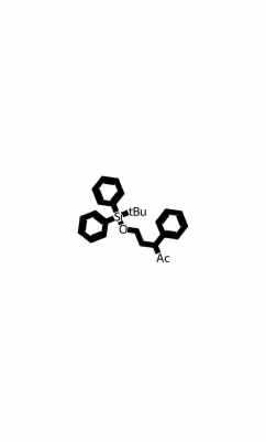 CC(=O)C(CCO[Si](c1ccccc1)(c1ccccc1)C(C)(C)C)c1ccccc1